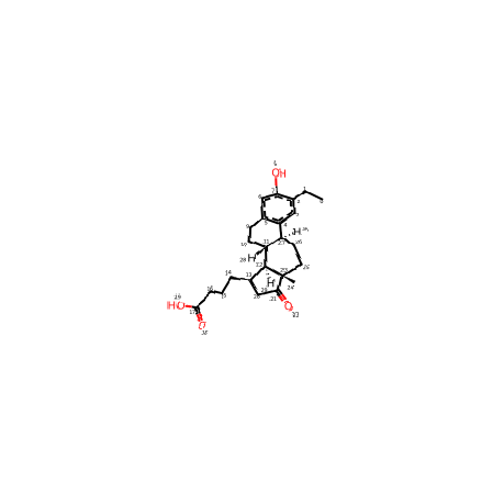 CCc1cc2c(cc1O)CC[C@H]1[C@@H]3[C@H](CCCC(=O)O)CC(=O)[C@@]3(C)CC[C@H]21